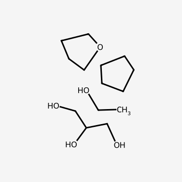 C1CCCC1.C1CCOC1.CCO.OCC(O)CO